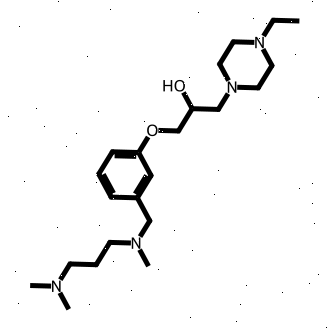 CCN1CCN(CC(O)COc2cccc(CN(C)CCCN(C)C)c2)CC1